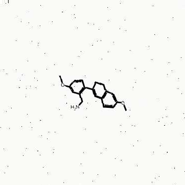 COc1ccc2c(c1)CCC(c1ccc(OC)cc1CN)=C2